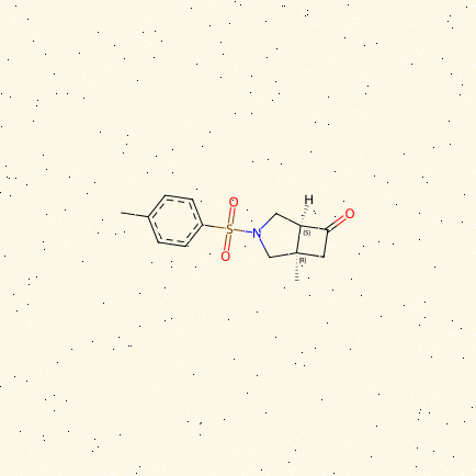 Cc1ccc(S(=O)(=O)N2C[C@H]3C(=O)C[C@@]3(C)C2)cc1